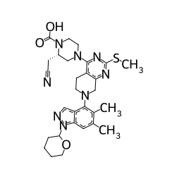 CSc1nc2c(c(N3CCN(C(=O)O)[C@@H](CC#N)C3)n1)CCN(c1c(C)c(C)cc3c1cnn3C1CCCCO1)C2